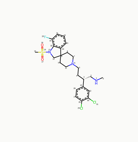 CNC[C@@H](CCN1CCC2(CC1)CN(S(C)(=O)=O)c1c(F)cccc12)c1ccc(Cl)c(Cl)c1